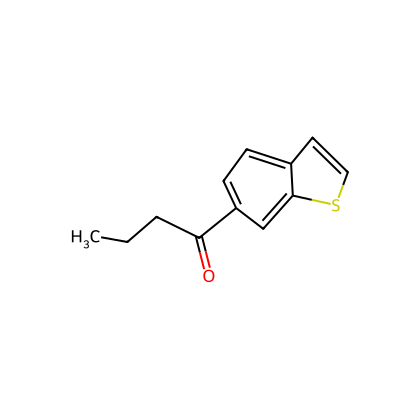 CCCC(=O)c1ccc2ccsc2c1